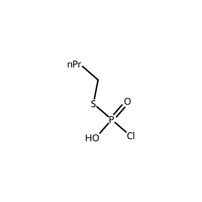 CCCCSP(=O)(O)Cl